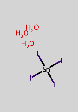 O.O.O.[I][Sn]([I])([I])[I]